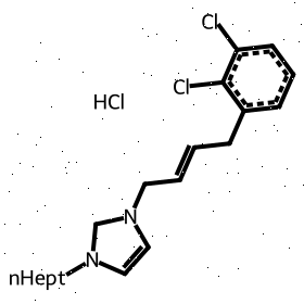 CCCCCCCN1C=CN(CC=CCc2cccc(Cl)c2Cl)C1.Cl